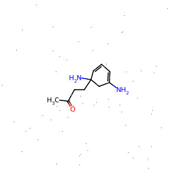 CC(=O)CCC1(N)C=CC=C(N)C1